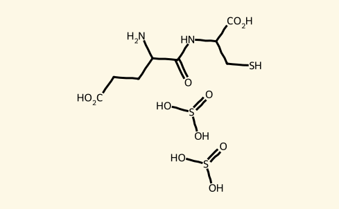 NC(CCC(=O)O)C(=O)NC(CS)C(=O)O.O=S(O)O.O=S(O)O